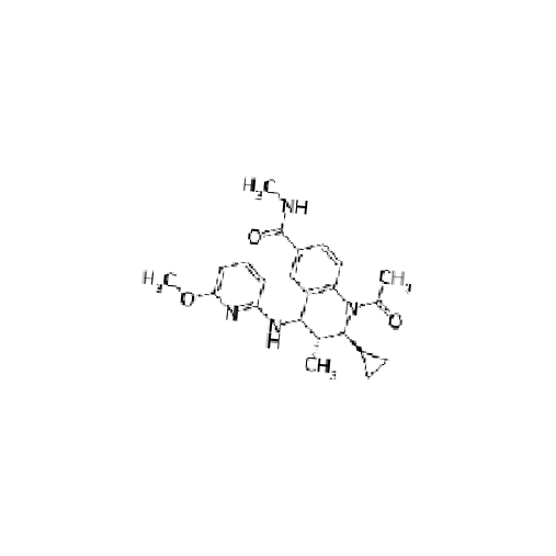 CNC(=O)c1ccc2c(c1)C(Nc1cccc(OC)n1)[C@@H](C)[C@H](C1CC1)N2C(C)=O